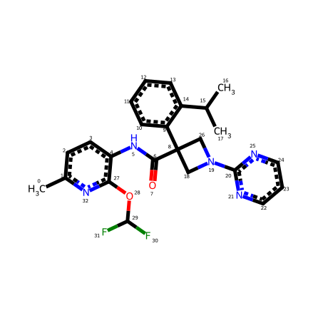 Cc1ccc(NC(=O)C2(c3ccccc3C(C)C)CN(c3ncccn3)C2)c(OC(F)F)n1